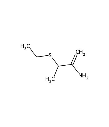 C=C(N)C(C)SCC